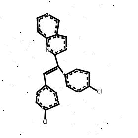 Clc1ccc(C=C(c2ccc(Cl)cc2)c2ccc3ccccc3n2)cc1